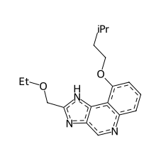 CCOCc1nc2cnc3cccc(OCCC(C)C)c3c2[nH]1